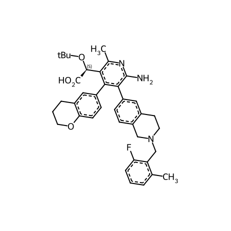 Cc1cccc(F)c1CN1CCc2cc(-c3c(N)nc(C)c([C@H](OC(C)(C)C)C(=O)O)c3-c3ccc4c(c3)CCCO4)ccc2C1